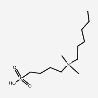 CCCCCC[N+](C)(C)CCCCS(=O)(=O)O